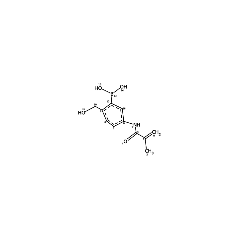 C=C(C)C(=O)Nc1ccc(CO)c(B(O)O)c1